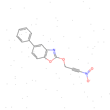 O=[N+]([O-])C#CCOc1nc2cc(-c3ccccc3)ccc2o1